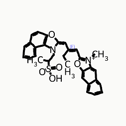 CC/C(C=C1Oc2ccc3ccccc3c2N1CC(C)S(=O)(=O)O)=C\c1oc2cc3ccccc3cc2[n+]1C